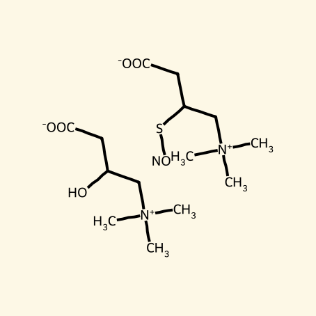 C[N+](C)(C)CC(CC(=O)[O-])SN=O.C[N+](C)(C)CC(O)CC(=O)[O-]